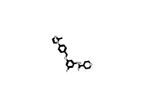 Cc1nccn1-c1ccc(COc2cc(F)cc(NC(=S)C3CCOCC3)c2)cc1